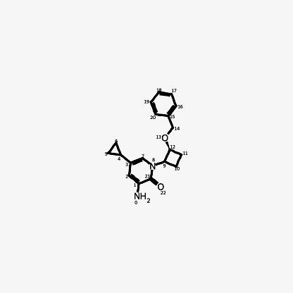 Nc1cc(C2CC2)cn(C2CC[C@@H]2OCc2ccccc2)c1=O